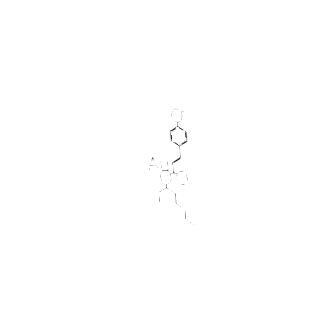 CCCCCC(CC)OC(=O)C=Cc1ccc(OC)cc1.[Au]